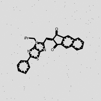 CC(C)Cn1c(C=C2C(=O)c3cc4ccccc4cc3C2=O)nc2sc(-c3ccccc3)nc21